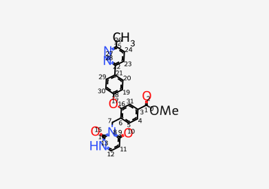 COC(=O)c1ccc(Cn2c(=O)cc[nH]c2=O)c(Oc2ccc(-c3ccc(C)nn3)cc2)c1